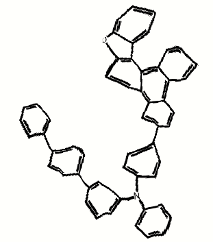 c1ccc(-c2ccc(-c3cccc(N(c4ccccc4)c4ccc(-c5ccc6c7ccccc7c7c(ccc8oc9ccccc9c87)c6c5)cc4)c3)cc2)cc1